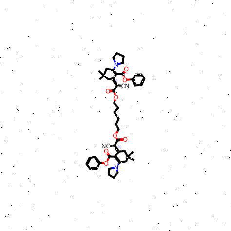 CC1(C)CC(N2CCCC2)=C(C(=O)Oc2ccccc2)/C(=C(\C#N)C(=O)OCCCCCCOC(=O)/C(C#N)=C2\CC(C)(C)CC(N3CCCC3)=C2C(=O)Oc2ccccc2)C1